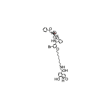 O=C(NC(c1ccccc1)c1cc(Br)cc(OCCCCCCCCCNCC(O)c2ccc(O)c3[nH]c(=O)ccc23)c1)O[C@H]1C[N+]2(CC(=O)c3ccccc3)CCC1CC2